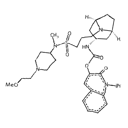 COCCN1CCC(N(C)S(=O)(=O)CCCN2[C@@H]3CC[C@H]2C[C@H](NC(=O)Oc2cc4ccccc4n(C(C)C)c2=O)C3)CC1